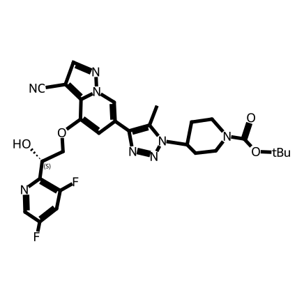 Cc1c(-c2cc(OC[C@@H](O)c3ncc(F)cc3F)c3c(C#N)cnn3c2)nnn1C1CCN(C(=O)OC(C)(C)C)CC1